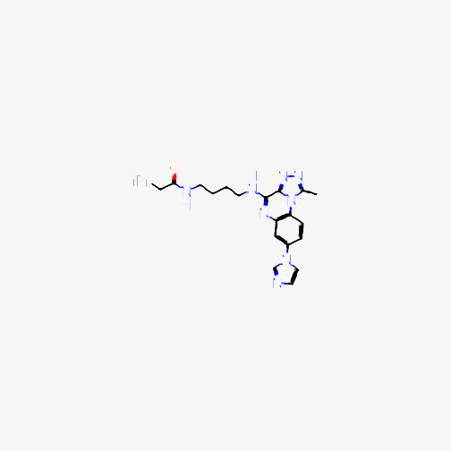 Cc1nnc2c(NCCCCNC(=O)CC(C)C)nc3cc(-n4ccnc4)ccc3n12